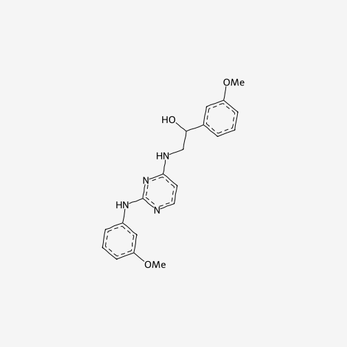 COc1cccc(Nc2nccc(NCC(O)c3cccc(OC)c3)n2)c1